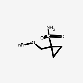 CCCOCC1(S(N)(=O)=O)CC1